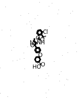 Cc1noc(-c2ccc(O[C@H]3CCC[C@@H](C(=O)O)C3)cc2)c1NC(=O)O[C@H](C)c1ccccc1Cl